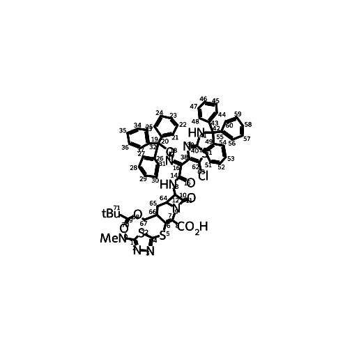 CNc1nnc(SC2=C(C(=O)O)N3C(=O)C(NC(=O)C(=NOC(c4ccccc4)(c4ccccc4)c4ccccc4)c4nc(NC(c5ccccc5)(c5ccccc5)c5ccccc5)sc4Cl)C3CC2COC(=O)C(C)(C)C)s1